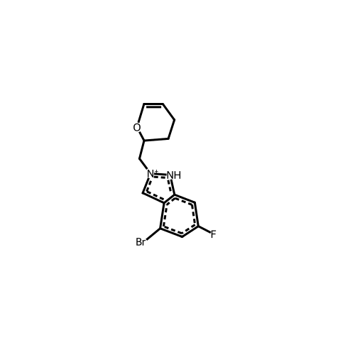 Fc1cc(Br)c2c[n+](CC3CCC=CO3)[nH]c2c1